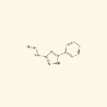 O=[C]Nc1n[nH]c(-c2ccccc2)n1